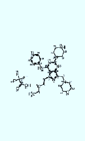 FC(F)(F)COCCn1nc(CN2CCOCC2)c2nc(N3CCNCC3)nc(Nc3ccncn3)c21.O=C(O)C(F)(F)F